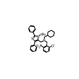 CCCCn1c(-c2ccccc2)nc(-c2ccccc2)c1CN(Cc1c(Cl)cccc1[N+](=O)[O-])CC1CCCCC1